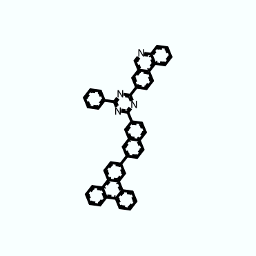 c1ccc(-c2nc(-c3ccc4ccc(-c5ccc6c7ccccc7c7ccccc7c6c5)cc4c3)nc(-c3ccc4c(cnc5ccccc54)c3)n2)cc1